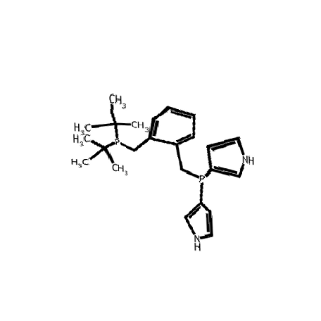 CC(C)(C)P(Cc1ccccc1CP(c1cc[nH]c1)c1cc[nH]c1)C(C)(C)C